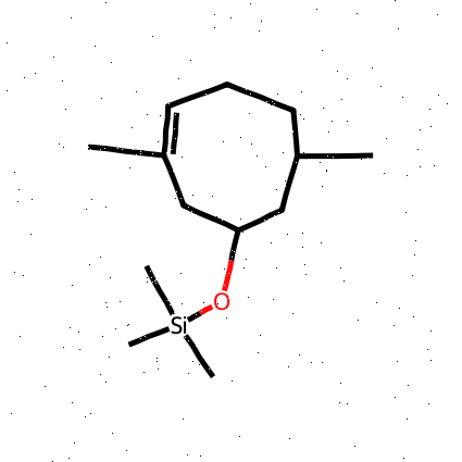 CC1=CCCC(C)CC(O[Si](C)(C)C)C1